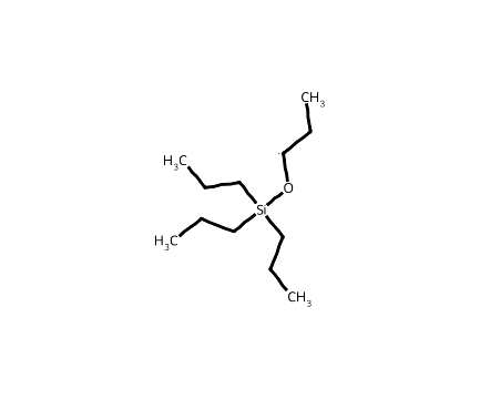 CC[CH]O[Si](CCC)(CCC)CCC